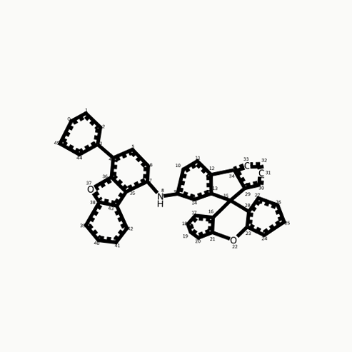 c1ccc(-c2ccc(Nc3ccc4c(c3)C3(c5ccccc5Oc5ccccc53)c3ccccc3-4)c3c2oc2ccccc23)cc1